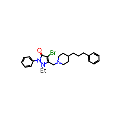 CCn1c(CN2CCC(CCCc3ccccc3)CC2)c(Br)c(=O)n1-c1ccccc1